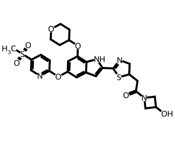 CS(=O)(=O)c1ccc(Oc2cc(OC3CCOCC3)c3[nH]c(C4=NCC(CC(=O)N5CC(O)C5)S4)cc3c2)nc1